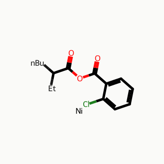 CCCCC(CC)C(=O)OC(=O)c1ccccc1Cl.[Ni]